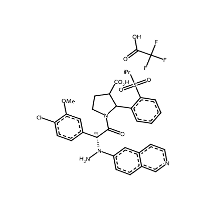 COc1cc([C@H](C(=O)N2CCC(C(=O)O)C2c2ccccc2S(=O)(=O)C(C)C)N(N)c2ccc3cnccc3c2)ccc1Cl.O=C(O)C(F)(F)F